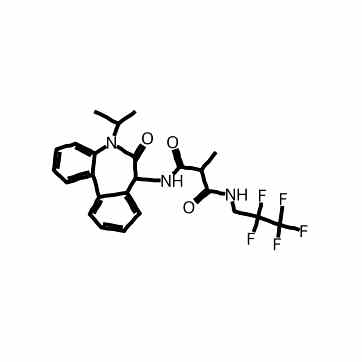 CC(C(=O)NCC(F)(F)C(F)(F)F)C(=O)NC1C(=O)N(C(C)C)c2ccccc2-c2ccccc21